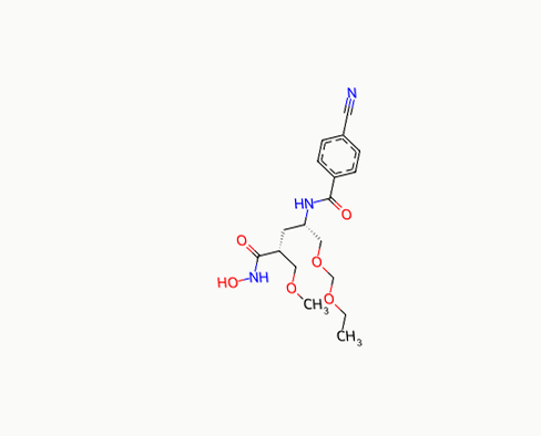 CCOCOC[C@H](C[C@H](COC)C(=O)NO)NC(=O)c1ccc(C#N)cc1